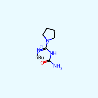 CCCC/N=C(\NC(N)=O)N1CCCC1